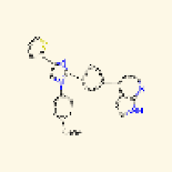 COc1ccc(-n2cc(-c3cccs3)nc2-c2ccc(-c3ccnc4[nH]ccc34)cc2)cc1